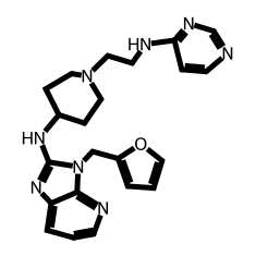 c1coc(Cn2c(NC3CCN(CCNc4ccncn4)CC3)nc3cccnc32)c1